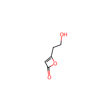 O=C1C=C(CCO)O1